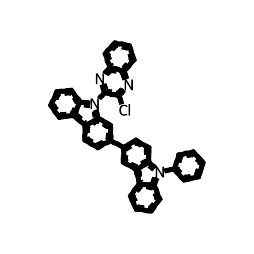 Clc1nc2ccccc2nc1-n1c2ccccc2c2ccc(-c3ccc4c(c3)c3ccccc3n4-c3ccccc3)cc21